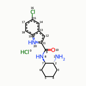 Cl.N[C@@H]1CCCC[C@H]1NC(=O)c1cc2cc(Cl)ccc2[nH]1